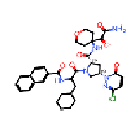 NC(=O)C(=O)C1(NC(=O)[C@@H]2C[C@H](n3nc(Cl)ccc3=O)CN2C(=O)C(CC2CCCCC2)NC(=O)c2ccc3ccccc3c2)CCOCC1